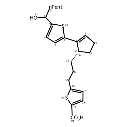 CCCCCC(O)c1ccc(C2=CCC[C@@H]2CCCc2ccc(C(=O)O)s2)s1